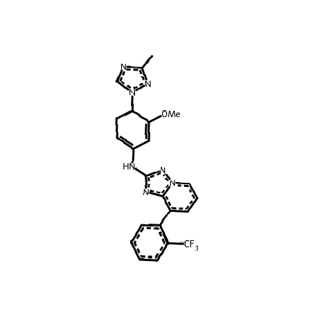 COC1=CC(Nc2nc3c(-c4ccccc4C(F)(F)F)cccn3n2)=CCC1n1cnc(C)n1